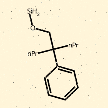 CCCC(CCC)(CO[SiH3])c1ccccc1